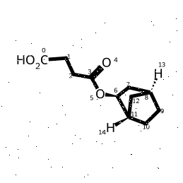 O=C(O)CCC(=O)O[C@H]1C[C@H]2CC[C@H]1C2